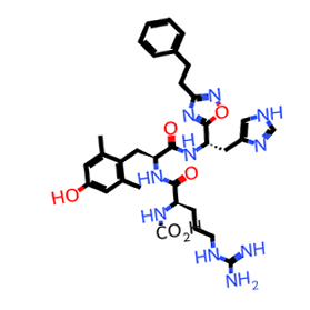 Cc1cc(O)cc(C)c1C[C@H](NC(=O)[C@@H](CCCNC(=N)N)NC(=O)O)C(=O)N[C@@H](Cc1c[nH]cn1)c1nc(CCc2ccccc2)no1